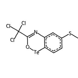 CSc1ccc2c(c1)N=C(C(Cl)(Cl)Cl)O[Te]2